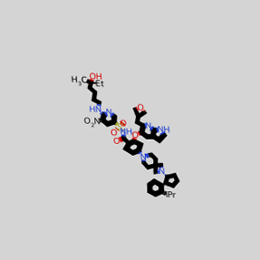 CC[C@@](C)(O)CCCCNc1ncc(S(=O)(=O)NC(=O)c2ccc(N3CCC4(CC3)CN([C@@H]3CCC[C@@H]3c3ccccc3C(C)C)C4)cc2Oc2cc3cc[nH]c3nc2CC2COC2)cc1[N+](=O)[O-]